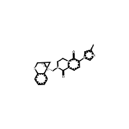 Cc1cn(-c2ccc3n(c2=O)CCN(C[C@@]24C[C@@H]2COc2ccccc24)C3=O)cn1